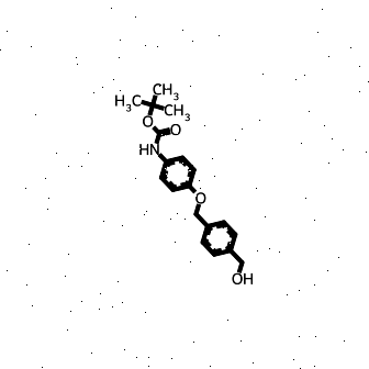 CC(C)(C)OC(=O)Nc1ccc(OCc2ccc(CO)cc2)cc1